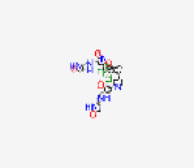 COc1cc(-c2nccc(-c3cccc4c3CC[C@@H]4Oc3nc(OC)c(CNC[C@@H]4CCC(=O)N4)cc3C(F)(F)F)c2Cl)ccc1CNC[C@@H]1CCC(=O)N1